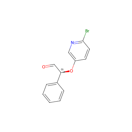 O=C[C@@H](Oc1ccc(Br)nc1)c1ccccc1